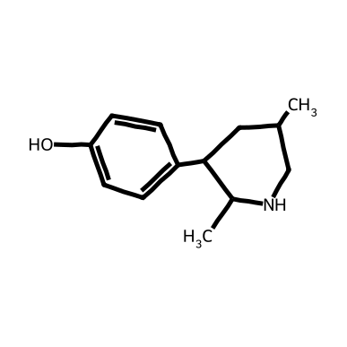 CC1CNC(C)C(c2ccc(O)cc2)C1